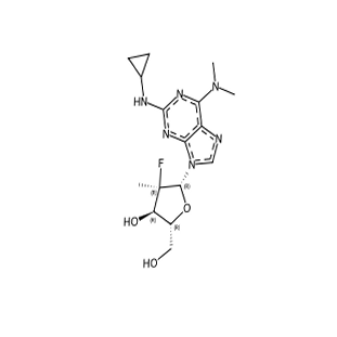 CN(C)c1nc(NC2CC2)nc2c1ncn2[C@@H]1O[C@H](CO)[C@@H](O)[C@@]1(C)F